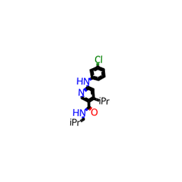 CC(C)CNC(=O)c1cnc(Nc2cccc(Cl)c2)cc1C(C)C